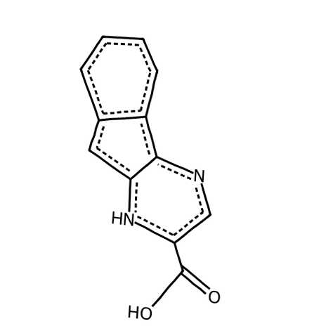 O=C(O)c1cnc2c3ccccc3cc-2[nH]1